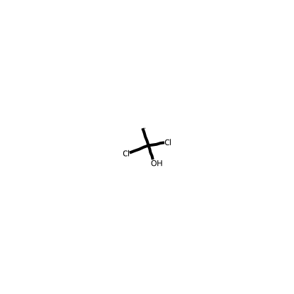 [CH2]C(O)(Cl)Cl